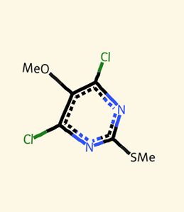 COc1c(Cl)nc(SC)nc1Cl